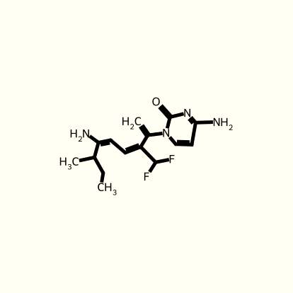 C=C(/C(=C\C=C(\N)C(C)CC)C(F)F)n1ccc(N)nc1=O